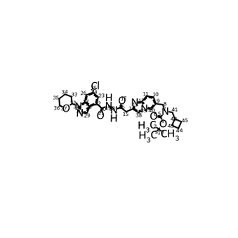 CC(C)(C)OC(=O)N(Cc1ccc2nc(CC(=O)NNC(=O)c3cc(Cl)cc4c3cnn4C3CCCCO3)cn2c1)CC1CCC1